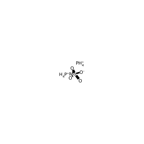 [O]=[Mo](=[O])([O-])[O-].[PH4+].[PH4+]